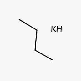 CCCC.[KH]